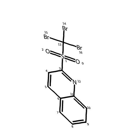 O=S(=O)(c1ccc2ccccc2n1)C(Br)(Br)Br